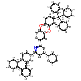 c1ccc(-c2cc(-c3ccc4c(c3)Oc3c(ccc5c3-c3ccccc3C5(c3ccccc3)c3ccccc3)O4)nc(-c3ccc4c5ccccc5c5ccccc5c4c3)c2)cc1